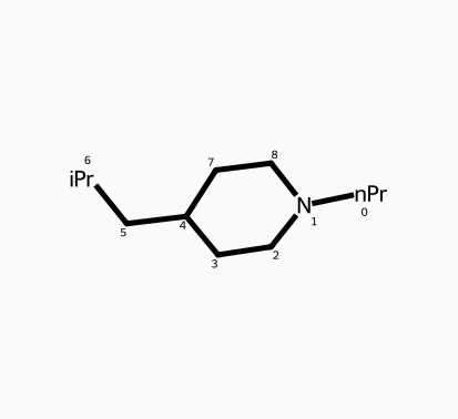 CCCN1CCC(CC(C)C)CC1